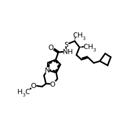 COCC1Cn2cc(C(=O)NS[C@H](C)[C@@H](C)C/C=C/CC3CCC3)cc2CO1